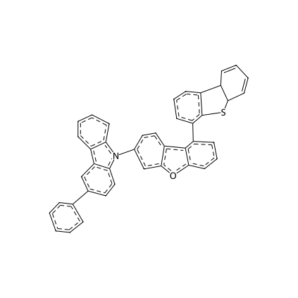 C1=CC2Sc3c(-c4cccc5oc6cc(-n7c8ccccc8c8cc(-c9ccccc9)ccc87)ccc6c45)cccc3C2C=C1